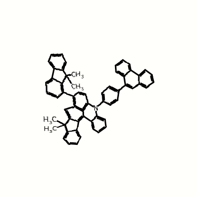 CC1(C)c2ccccc2-c2c(-c3ccccc3N(c3ccc(-c4cccc5c4C(C)(C)c4ccccc4-5)cc3)c3ccc(-c4cc5ccccc5c5ccccc45)cc3)cccc21